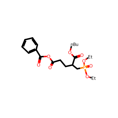 CCCCOC(=O)C(CCC(=O)OC(=O)c1ccccc1)CP(=O)(OCC)OCC